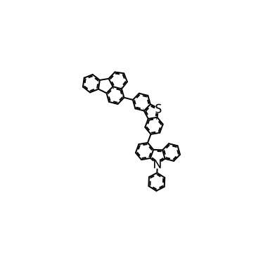 c1ccc(-n2c3ccccc3c3c(-c4ccc5sc6ccc(-c7ccc8c9c(cccc79)-c7ccccc7-8)cc6c5c4)cccc32)cc1